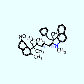 C=C(/C=C/C=C1/N(C)c2ccc3ccccc3c2C1(C)Cc1ccccc1)C(C)(C)c1c(C)ccc2ccc([N+](=O)[O-])cc12